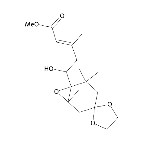 COC(=O)C=C(C)CC(O)C12OC1(C)CC1(CC2(C)C)OCCO1